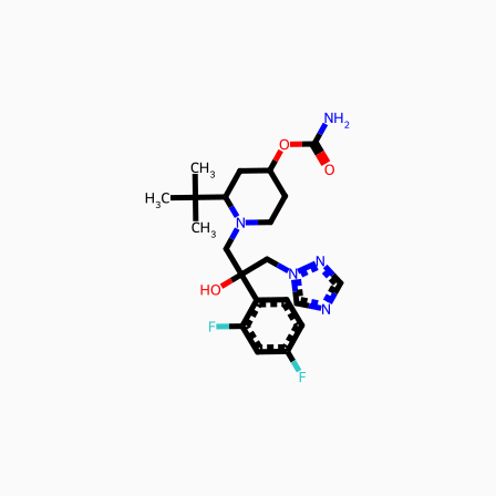 CC(C)(C)C1CC(OC(N)=O)CCN1CC(O)(Cn1cncn1)c1ccc(F)cc1F